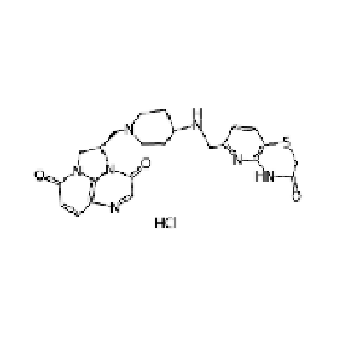 Cl.O=C1CSc2ccc(CNC3CCN(C[C@@H]4Cn5c(=O)ccc6ncc(=O)n4c65)CC3)nc2N1